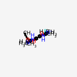 C#CCCCCOc1cc(NC(=O)c2ccc(-c3ccc(C(=O)Nc4ccc([N+](C)(C)C)c(F)c4)cc3)cc2)ccc1[N+](C)(C)C